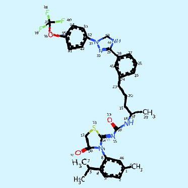 Cc1ccc(C(C)C)c(N2C(=O)CS/C2=N\C(=O)NC(C)CCCc2cccc(C3=NN(c4ccc(OC(F)(F)F)cc4)CN3)c2)c1